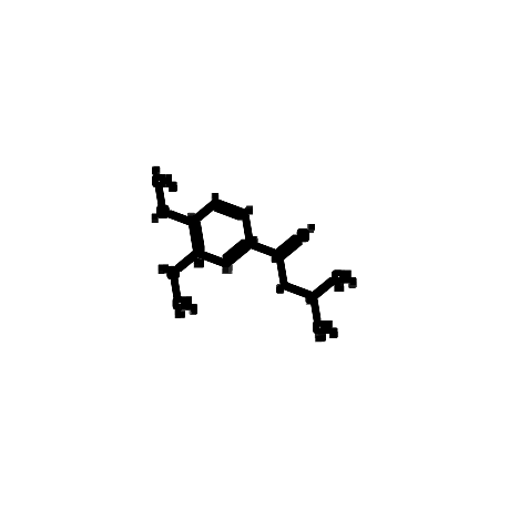 COc1ccc(C(=O)CC(C)C)cc1OC